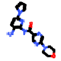 Nc1ccc(-n2cccc2)nc1NC(=O)c1cnc(N2CCOCC2)cn1